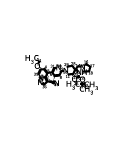 CCOc1cc(-c2ccc(N3CCC(CN4CCCC4)(NC(=O)OC(C)(C)C)CC3)nc2)c2c(C#N)cnn2c1